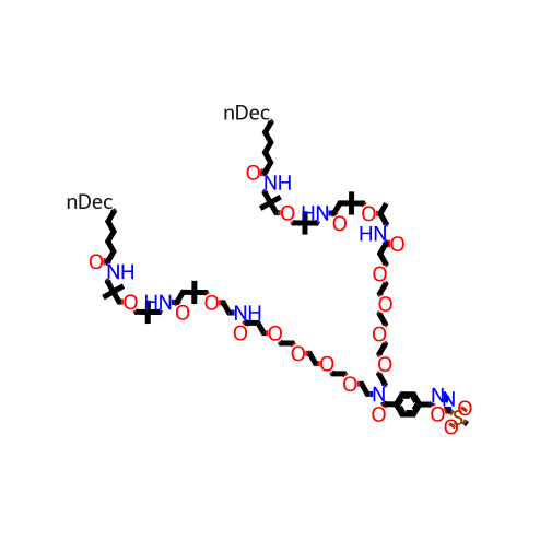 CCCCCCCCCCCCCCCC(=O)NCC(C)(C)COCC(C)(C)CNC(=O)CC(C)(C)COCCNC(=O)CCOCCOCCOCCOCCN(CCOCCOCCOCCOCCC(=O)NCC(C)OCC(C)(C)CC(=O)NCC(C)(C)COCC(C)(C)CNC(=O)CCCCCCCCCCCCCCC)C(=O)c1ccc(-c2nnc(S(C)(=O)=O)o2)cc1